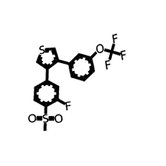 CS(=O)(=O)c1ccc(-c2cscc2-c2cccc(OC(F)(F)F)c2)cc1F